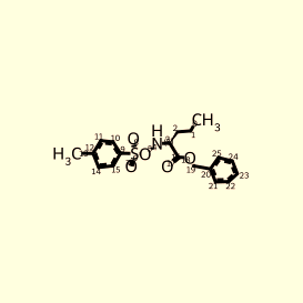 CCC[C@H](NOS(=O)(=O)c1ccc(C)cc1)C(=O)OCc1ccccc1